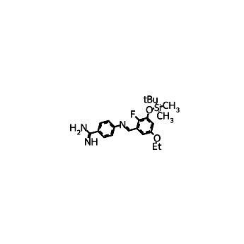 CCOc1cc(/C=N/c2ccc(C(=N)N)cc2)c(F)c(O[Si](C)(C)C(C)(C)C)c1